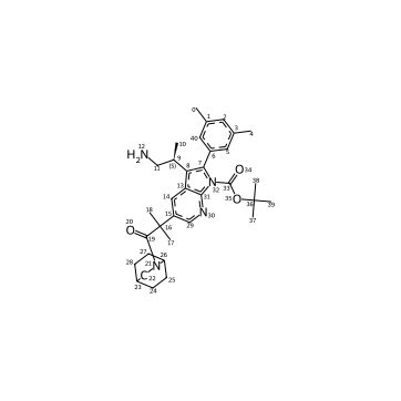 Cc1cc(C)cc(-c2c([C@H](C)CN)c3cc(C(C)(C)C(=O)N4CC5CCC4CC5)cnc3n2C(=O)OC(C)(C)C)c1